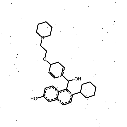 Oc1ccc2c(C(O)C3=CCC(OCCN4CCCCC4)C=C3)c(C3CCCCC3)ccc2c1